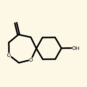 C=C1COCOC2(CCC(O)CC2)C1